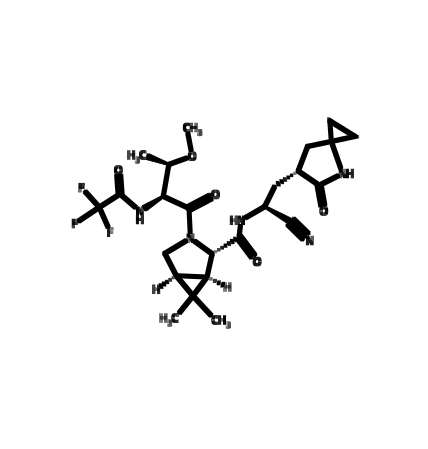 CO[C@H](C)[C@H](NC(=O)C(F)(F)F)C(=O)N1C[C@H]2[C@@H]([C@H]1C(=O)N[C@H](C#N)C[C@@H]1CC3(CC3)NC1=O)C2(C)C